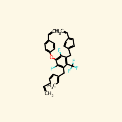 C=CC/C=C\C(=C/C)Cc1c(F)c(Oc2ccc(C=C)cc2)c(F)c(Cc2ccc(C=C)cc2)c1C(F)(F)F